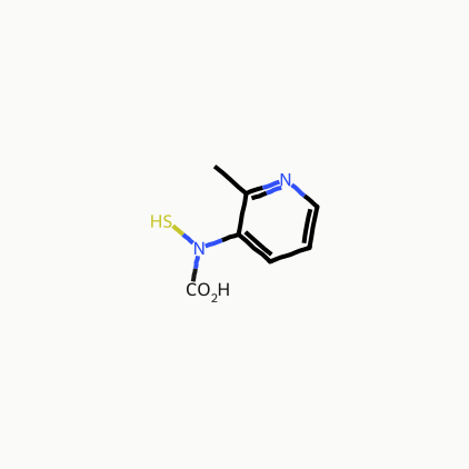 Cc1ncccc1N(S)C(=O)O